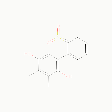 Cc1c(O)cc(C2=CC=CCC2=S(=O)=O)c(O)c1C